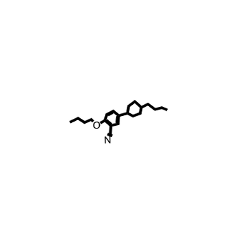 CCCCOc1ccc(C2CCC(CCCC)CC2)cc1C#N